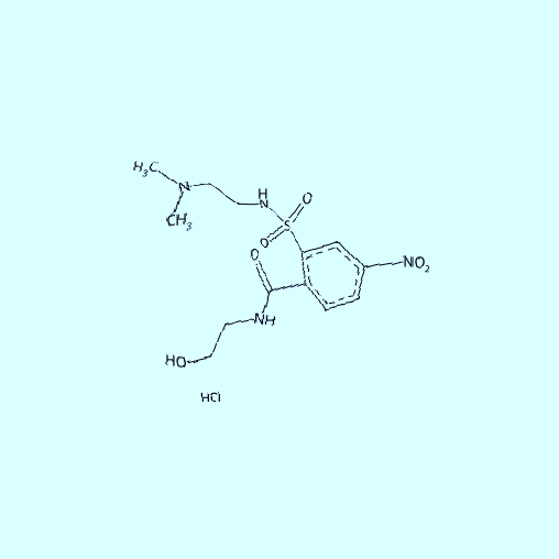 CN(C)CCNS(=O)(=O)c1cc([N+](=O)[O-])ccc1C(=O)NCCO.Cl